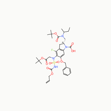 C=CCOC(=O)NS(=O)(=O)N(CC(=O)OC(C)(C)C)c1c(OCc2ccccc2)cc2c(c1F)C[C@H](CN(C(=O)OC(C)(C)C)C(C)CC)N2C(=O)O